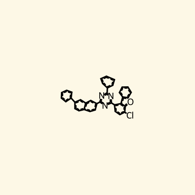 Clc1ccc(-c2nc(-c3ccccc3)nc(-c3ccc4ccc(-c5ccccc5)cc4c3)n2)c2c1oc1ccccc12